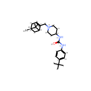 CC(C)(C)c1ccc(NC(=O)NC2CCN(CC3=CC[C@H]4CC3C4(C)C)CC2)cc1